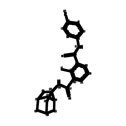 Cc1c(C(=O)Nc2ccc(F)cc2)cccc1C(=O)NC12CC3CC(CC1C3)C2